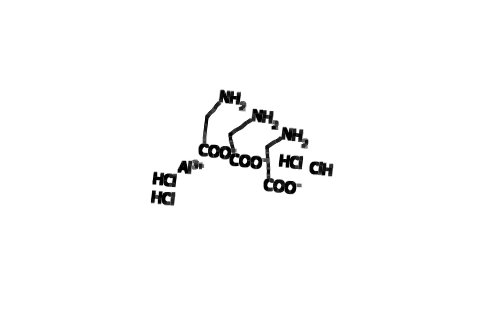 Cl.Cl.Cl.Cl.NCC(=O)[O-].NCC(=O)[O-].NCC(=O)[O-].[Al+3]